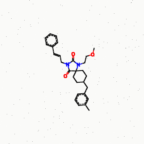 COCCN1C(=O)N(C/C=C/c2ccccc2)C(=O)C12CCC(Cc1cccc(C)c1)CC2